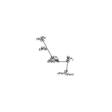 CCCCCC(CCCCC)CC(=O)OCCCCCCCCCCC1(CCCCCCCCCCOC(=O)CC(CCCCC)CCCC(C)C(C(=O)OCCCCCCCCCCC(CCCCCCCCCCOC(=O)CC(CCCC)CCCC)COCCCN(C)CC)C(CCCC)CCCC)OCC(CN(C)CC)O1